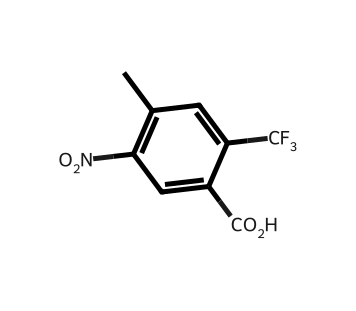 Cc1cc(C(F)(F)F)c(C(=O)O)cc1[N+](=O)[O-]